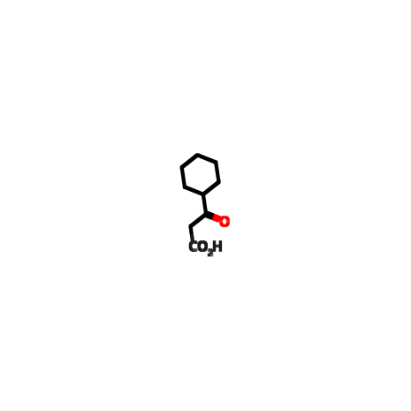 O=C(O)CC(=O)C1CCCCC1